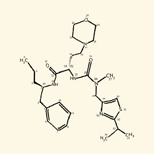 CCC[C@H](Cc1ccccc1)NC(=O)[C@H](CCN1CCOCC1)NC(=O)N(C)Cc1csc(C(C)C)n1